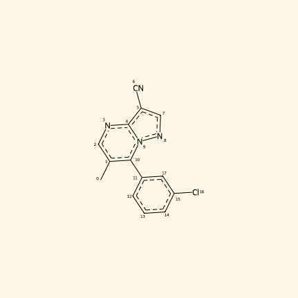 Cc1cnc2c(C#N)cnn2c1-c1cccc(Cl)c1